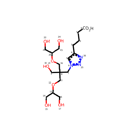 O=C(O)CCCc1cn(CC(CO)(COC(CO)CO)COC(CO)CO)nn1